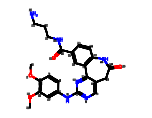 COc1ccc(Nc2ncc3c(n2)-c2cc(C(=O)NCCCN)ccc2NC(=O)C3)cc1OC